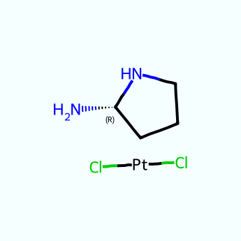 N[C@H]1CCCN1.[Cl][Pt][Cl]